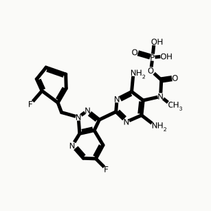 CN(C(=O)OP(=O)(O)O)c1c(N)nc(-c2nn(Cc3ccccc3F)c3ncc(F)cc23)nc1N